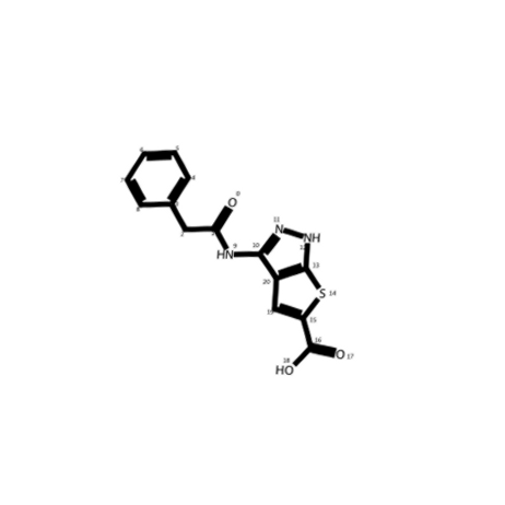 O=C(Cc1ccccc1)Nc1n[nH]c2sc(C(=O)O)cc12